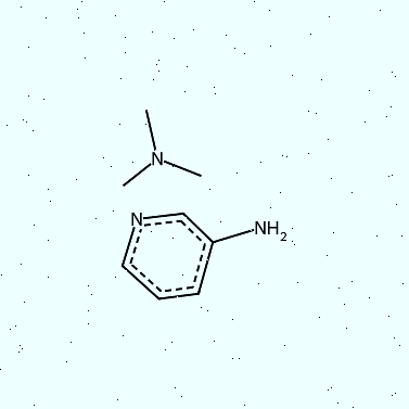 CN(C)C.Nc1cccnc1